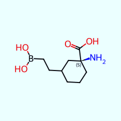 N[C@@]1(C(=O)O)CCCC(CCB(O)O)C1